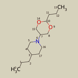 CCCC1CCN(C2COC(CCC)OC2)CC1